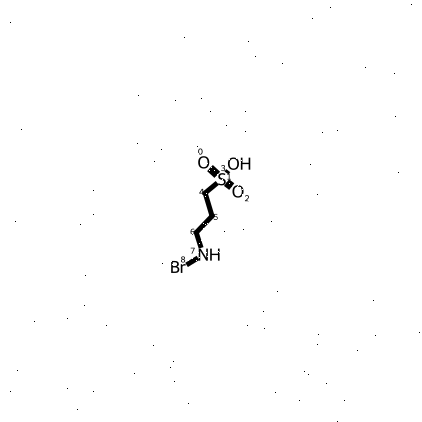 O=S(=O)(O)CCCNBr